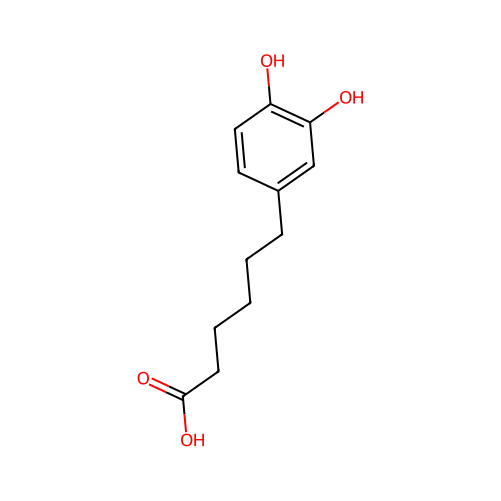 O=C(O)CCCCCc1ccc(O)c(O)c1